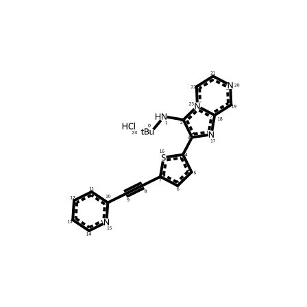 CC(C)(C)Nc1c(-c2ccc(C#Cc3ccccn3)s2)nc2cnccn12.Cl